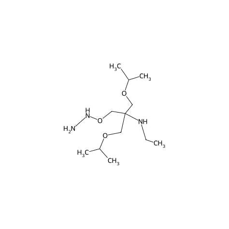 CCNC(CONN)(COC(C)C)COC(C)C